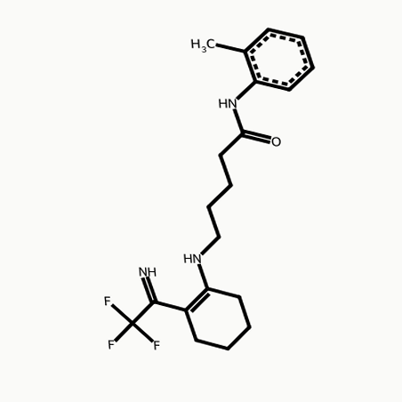 Cc1ccccc1NC(=O)CCCCNC1=C(C(=N)C(F)(F)F)CCCC1